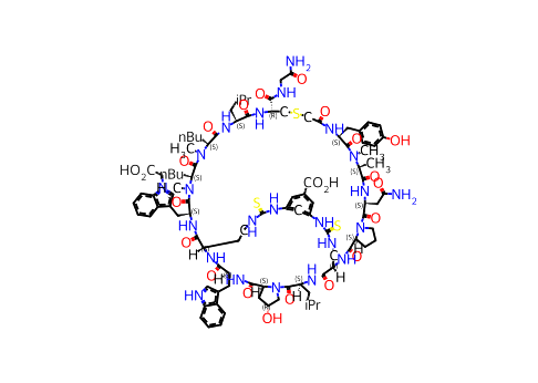 CCCC[C@H]1C(=O)N(C)[C@@H](CCCC)C(=O)N[C@@H](CC(C)C)C(=O)N[C@H](C(=O)NCC(N)=O)CSCC(=O)N[C@@H](Cc2ccc(O)cc2)C(=O)N(C)[C@@H](C)C(=O)N[C@@H](CC(N)=O)C(=O)N2CCC[C@H]2C(=O)N[C@H]2CNC(=S)Nc3cc(cc(C(=O)O)c3)NC(=S)NCC[C@H](NC(=O)[C@H](Cc3c[nH]c4ccccc34)NC(=O)[C@@H]3C[C@@H](O)CN3C(=O)[C@H](CC(C)C)NC2=O)C(=O)N[C@@H](Cc2cn(CC(=O)O)c3ccccc23)C(=O)N1C